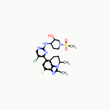 Cc1nc2c(F)cc(-c3nc(NC4CCN(S(C)(=O)=O)CC4O)ncc3Cl)c3c2n1C(C)CC3